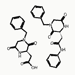 O=C(C[C@H]1NC(=O)CN(Cc2ccccc2)C1=O)Nc1ccccc1.O=C(O)C[C@H]1NC(=O)CN(Cc2ccccc2)C1=O